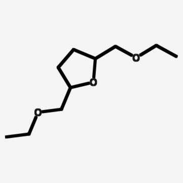 CCOCC1CCC(COCC)O1